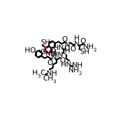 CC(C)NCCCCC(NC(=O)C(Cc1ccc(O)cc1)NC(=O)CCS)C(=O)N[C@H](CCCNC(=N)N)C(=O)NC(Cc1ccc2ccccc2c1)C(=O)NCC(=O)NC(CS)C(N)=O